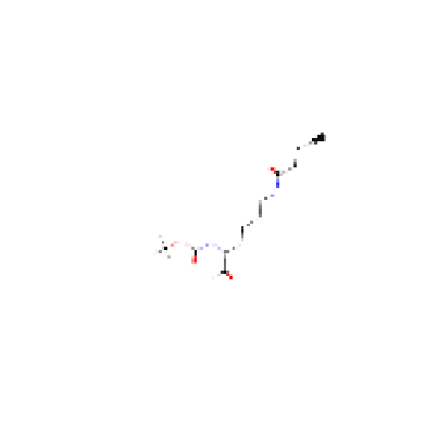 C#CCCC(=O)NCCCCC(NC(=O)OC(C)(C)C)C(=O)O